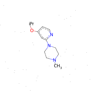 CC(C)Oc1ccnc(N2CCN(C)CC2)c1